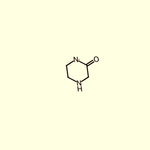 O=C1CNCC[N]1